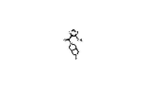 Cc1ncoc1C(=O)N1CC2CNCC2C1